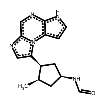 C[C@@H]1C[C@H](NC=O)C[C@@H]1c1cnc2cnc3[nH]ccc3n12